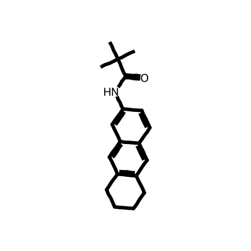 CC(C)(C)C(=O)Nc1ccc2cc3c(cc2c1)CCCC3